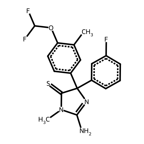 Cc1cc(C2(c3cccc(F)c3)N=C(N)N(C)C2=S)ccc1OC(F)F